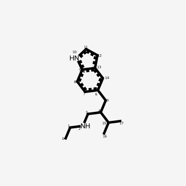 CCNCC(Cc1ccc2[nH]ccc2c1)C(C)C